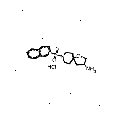 Cl.N[C@@H]1COC2(CCN(S(=O)(=O)c3ccc4ccccc4c3)CC2)C1